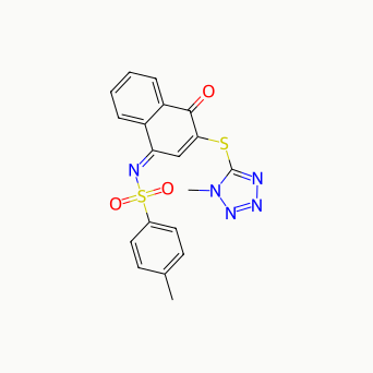 Cc1ccc(S(=O)(=O)N=C2C=C(Sc3nnnn3C)C(=O)c3ccccc32)cc1